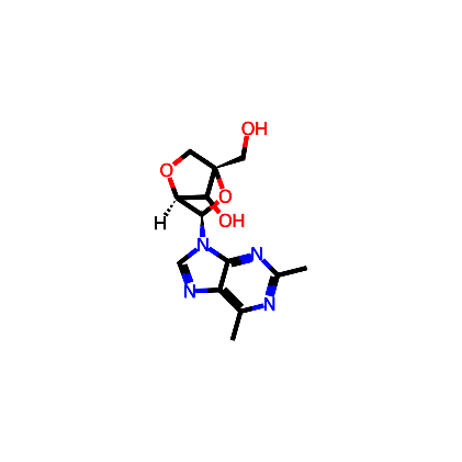 Cc1nc(C)c2ncn([C@@H]3O[C@@]4(CO)CO[C@H]3C4O)c2n1